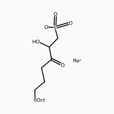 CCCCCCCCCCCC(=O)C(O)CS(=O)(=O)[O-].[Na+]